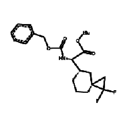 CC(C)(C)OC(=O)[C@@H](NC(=O)OCc1ccccc1)[C@H]1CCC[C@]2(C1)CC2(F)F